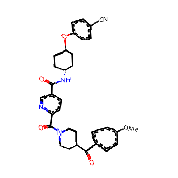 COc1ccc(C(=O)C2CCN(C(=O)c3ccc(C(=O)N[C@H]4CC[C@H](Oc5ccc(C#N)cc5)CC4)cn3)CC2)cc1